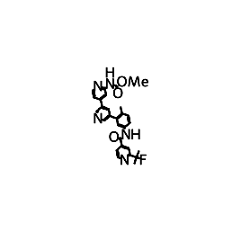 COC(=O)Nc1cc(-c2cncc(-c3cc(NC(=O)c4ccnc(C(C)(C)F)c4)ccc3C)c2)ccn1